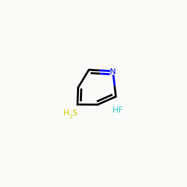 F.S.c1ccncc1